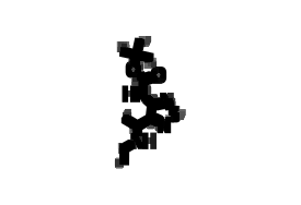 CCNC(C)c1nsnc1NC(=O)OC(C)(C)C